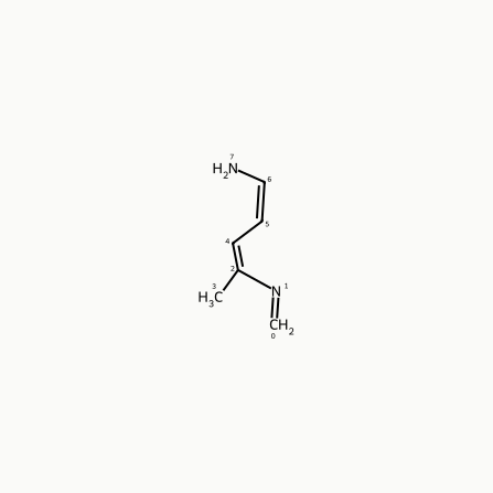 C=N/C(C)=C\C=C/N